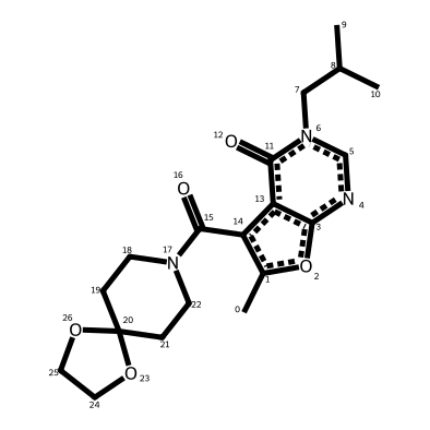 Cc1oc2ncn(CC(C)C)c(=O)c2c1C(=O)N1CCC2(CC1)OCCO2